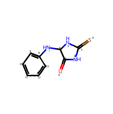 O=C1NC(=S)NC1Nc1ccccc1